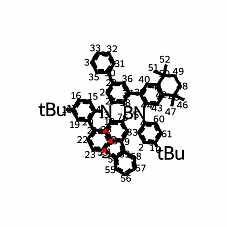 CC(C)(C)c1ccc(N2B3c4cc5c(cc4N(c4ccc(C(C)(C)C)cc4-c4ccccc4)c4cc(-c6ccccc6)cc(c43)-c3cc4c(cc32)C(C)(C)CCC4(C)C)sc2ccccc25)cc1